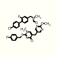 CN(C=O)Cc1ccc(-c2ccc(Cl)cc2)c(F)c1.COc1ncc(Cc2cn(C)c(SCc3ccc(F)cc3)nc2=O)cn1